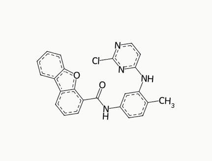 Cc1ccc(NC(=O)c2cccc3c2oc2ccccc23)cc1Nc1ccnc(Cl)n1